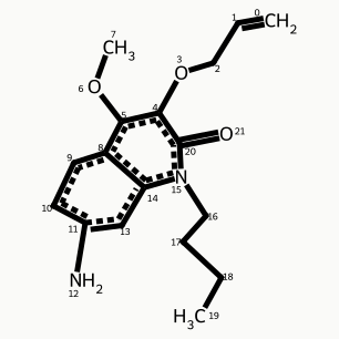 C=CCOc1c(OC)c2ccc(N)cc2n(CCCC)c1=O